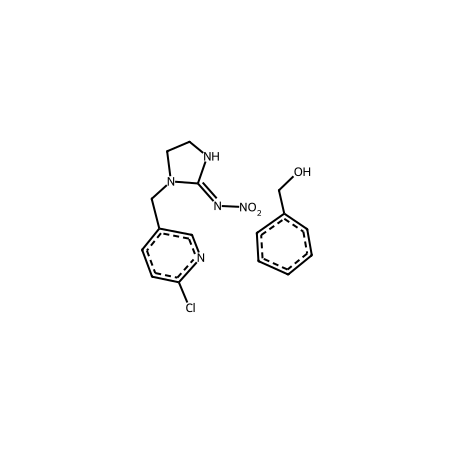 O=[N+]([O-])/N=C1\NCCN1Cc1ccc(Cl)nc1.OCc1ccccc1